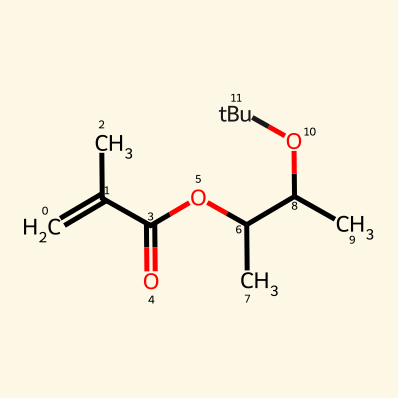 C=C(C)C(=O)OC(C)C(C)OC(C)(C)C